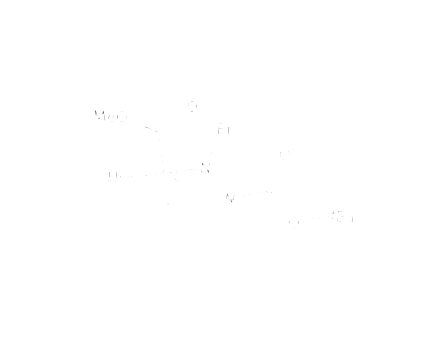 CCN(N(C)C(=O)OC(C)(C)C)[C@@](C)(O)C(=O)OC